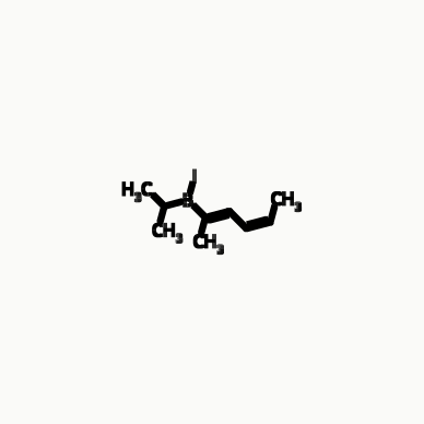 C/C=C\C=C(/C)B(I)C(C)C